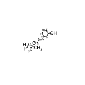 CC(C)(C)OCC=Cc1cccc(O)c1